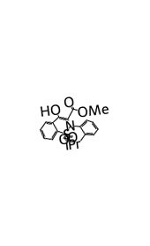 COC(=O)C1=C(O)c2ccccc2S(=O)(=O)N1c1ccccc1C(C)C